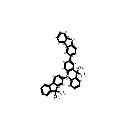 CC1(C)c2ccccc2-c2ccc(N3c4ccccc4C(C)(C)c4cc(-c5ccc6sc7ccccc7c6c5)ccc43)cc21